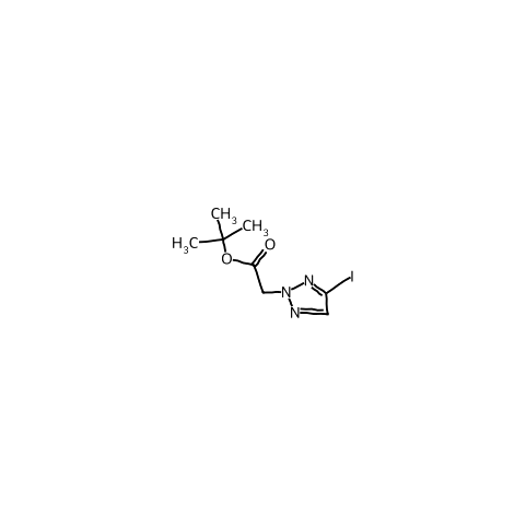 CC(C)(C)OC(=O)Cn1ncc(I)n1